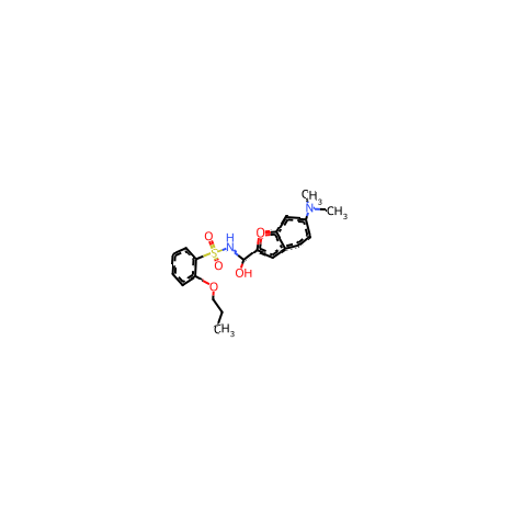 CCCOc1ccccc1S(=O)(=O)NC(O)c1cc2ccc(N(C)C)cc2o1